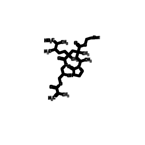 C=C(C)C(=O)OCC(O)COC(=O)C(C)(CCC(C)C(C)C(=O)O)CC(C)(CC(C)N1CCCC1=O)C(=O)OCCCCCCCCCCC